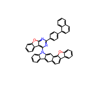 c1ccc2c(-c3ccc(-c4nc(-n5c6ccccc6c6cc7ccc8c9ccccc9oc8c7cc65)c5c(n4)oc4ccccc45)cc3)cccc2c1